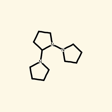 C1CCN(C2CCCN2N2CCCC2)C1